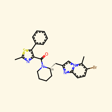 Cc1nc(C(=O)N2CCCC[C@H]2Cc2cn3c(C)c(Br)ccc3n2)c(-c2ccccc2)s1